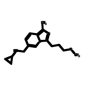 COCCCc1nc(C)c2ccc(CNC3CC3)cn12